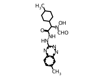 Cc1ccc2nc(NNC(=O)C(C3CCC(C)CC3)N(O)C=O)nnc2c1